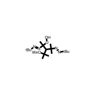 COC(C)(C)C(C(C)(C)N=NC(C)(C)C)C(C)(N=NC(C)(C)C)OO